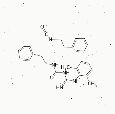 Cc1cccc(C)c1NC(=N)NC(=O)NCCc1ccccc1.O=C=NCCc1ccccc1